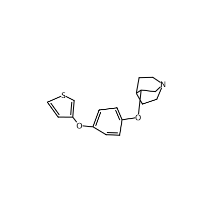 c1cc(Oc2ccc(OC3CN4CCC3CC4)cc2)cs1